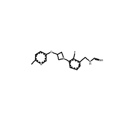 Cc1ccc(OC2CN(c3cccc(CN[C]=N)c3F)C2)cn1